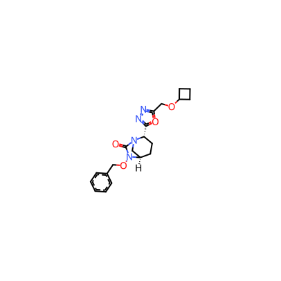 O=C1N2C[C@@H](CC[C@H]2c2nnc(COC3CCC3)o2)N1OCc1ccccc1